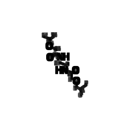 CC(C)COCC(=O)NCCNC(=O)COC(C)C